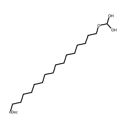 CCCCCCCCCCCCCCCCCCCCCCCCCCOC(O)O